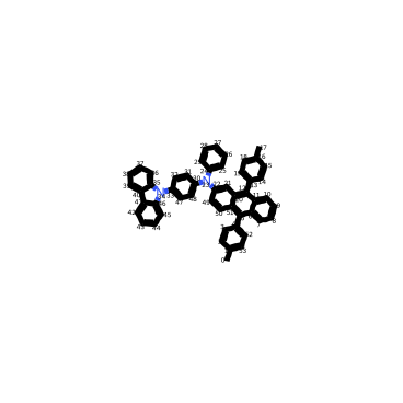 Cc1ccc(-c2c3ccccc3c(-c3ccc(C)cc3)c3cc(N(c4ccccc4)c4ccc(-n5c6ccccc6c6ccccc65)cc4)ccc23)cc1